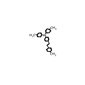 Cc1ccc(C=Cc2ccc(N(c3ccc(C)cc3)c3ccc(C)cc3)cc2)cc1